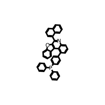 c1ccc(P(c2ccccc2)c2ccc(-c3cccc4nc(-c5cccc6ccccc56)c5oc6ccccc6c5c34)cc2)cc1